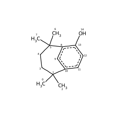 CC1(C)CCC(C)(C)c2cc1ccc2O